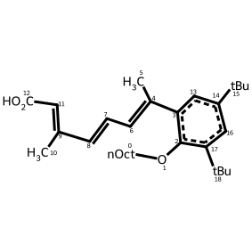 CCCCCCCCOc1c(C(C)=CC=CC(C)=CC(=O)O)cc(C(C)(C)C)cc1C(C)(C)C